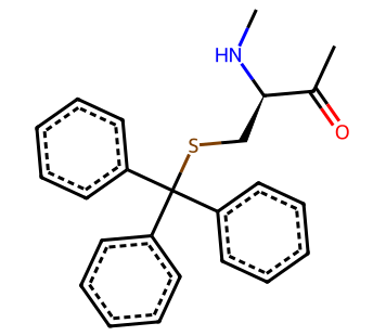 CN[C@H](CSC(c1ccccc1)(c1ccccc1)c1ccccc1)C(C)=O